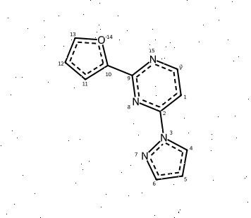 [c]1cc(-n2cccn2)nc(-c2ccco2)n1